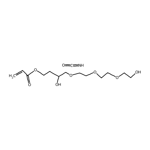 C=CC(=O)OCCC(O)COCCOCCOCCO.N=C=O